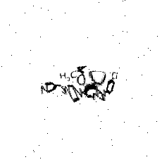 CC1(COc2c(N3CCN(SCc4ccncc4)CC3)cnn(-c3cccc(Cl)c3)c2=O)CC1